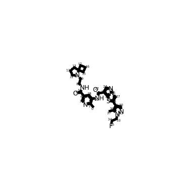 Cc1ncc(C(=O)NCCN2CCCC23CCC3)cc1NC(=O)c1cnn2cc(-c3cnn(CCF)c3C)sc12